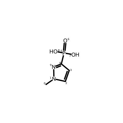 Cn1ccc(P(=O)(O)O)n1